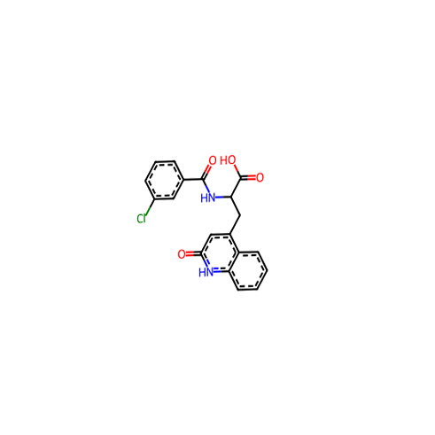 O=C(NC(Cc1cc(=O)[nH]c2ccccc12)C(=O)O)c1cccc(Cl)c1